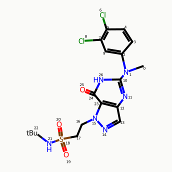 CN(c1ccc(Cl)c(Cl)c1)c1nc2cnn(CCS(=O)(=O)NC(C)(C)C)c2c(=O)[nH]1